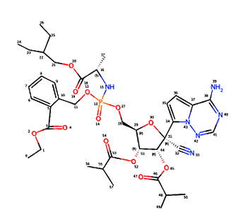 CCOC(=O)c1ccccc1COP(=O)(N[C@@H](C)C(=O)OCC(CC)CC)OC[C@H]1O[C@@](C#N)(c2ccc3c(N)ncnn23)[C@H](OC(=O)C(C)C)[C@@H]1OC(=O)C(C)C